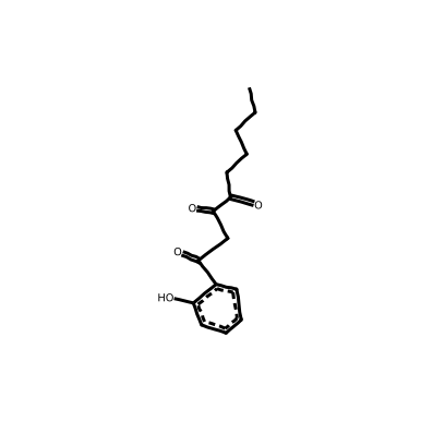 CCCCCC(=O)C(=O)CC(=O)c1ccccc1O